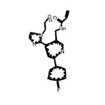 C=CC(=O)NCc1cnc(-c2ccc(F)cc2)cc1-c1nccn1CCO